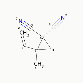 C=CC1(C)CC1(C#N)C#N